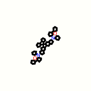 c1ccc(N(c2ccc3cc4c(cc3c2)C2(c3ccccc3-c3ccccc32)c2cc3cc(N(c5ccccc5)c5cccc6c5oc5ccccc56)ccc3cc2-4)c2cccc3c2oc2ccccc23)cc1